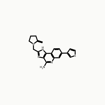 C=C1CCCN1Cc1nc2c(N)nc3cc(-c4ccsc4)ccc3c2[nH]1